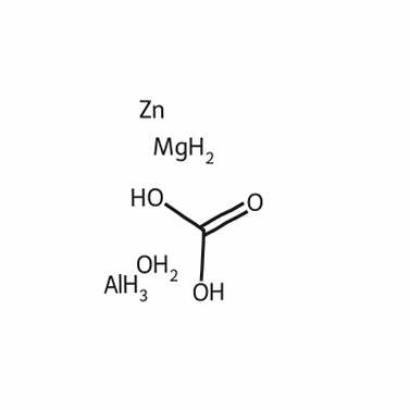 O.O=C(O)O.[AlH3].[MgH2].[Zn]